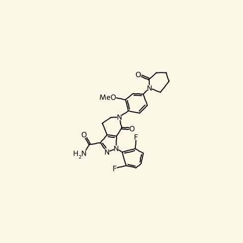 COc1cc(N2CCCCC2=O)ccc1N1CCc2c(C(N)=O)nn(-c3c(F)cccc3F)c2C1=O